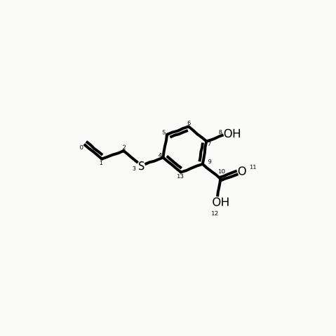 C=CCSc1ccc(O)c(C(=O)O)c1